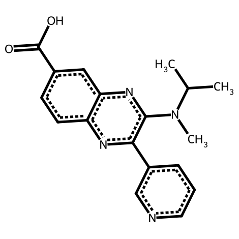 CC(C)N(C)c1nc2cc(C(=O)O)ccc2nc1-c1cccnc1